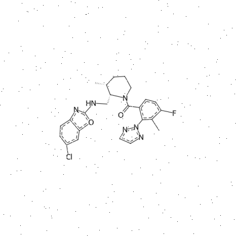 Cc1c(F)ccc(C(=O)N2CCC[C@@H](C)[C@H]2CNc2nc3ccc(Cl)cc3o2)c1-n1nccn1